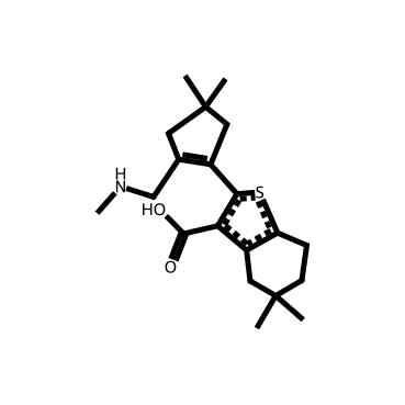 CNCC1=C(c2sc3c(c2C(=O)O)CC(C)(C)CC3)CC(C)(C)C1